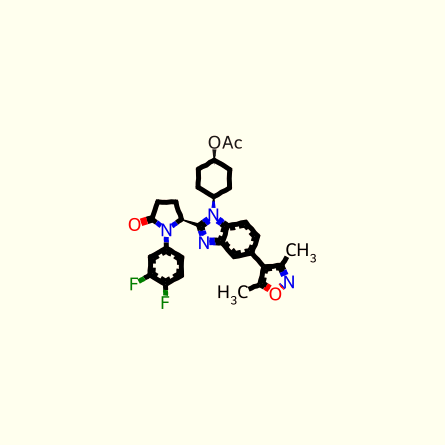 CC(=O)O[C@H]1CC[C@@H](n2c([C@@H]3CCC(=O)N3c3ccc(F)c(F)c3)nc3cc(-c4c(C)noc4C)ccc32)CC1